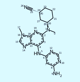 CN(c1cc(Nc2cc(N)ncn2)c2ncn(C)c2n1)[C@@H]1CCC[C@@H](C#N)C1